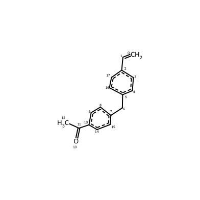 C=Cc1ccc(Cc2ccc(C(C)=O)cc2)cc1